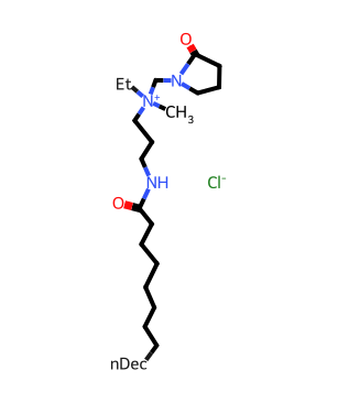 CCCCCCCCCCCCCCCCCC(=O)NCCC[N+](C)(CC)CN1CCCC1=O.[Cl-]